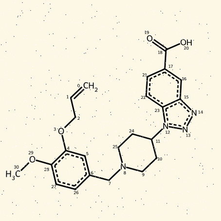 C=CCOc1cc(CN2CCC(n3nnc4cc(C(=O)O)ccc43)CC2)ccc1OC